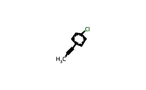 CC#Cc1ccc(Cl)cc1